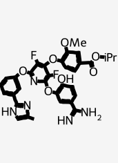 COc1cc(C(=O)OC(C)C)ccc1Oc1c(F)c(Oc2cccc(-c3nc(C)c[nH]3)c2)nc(Oc2cc(C(=N)N)ccc2O)c1F